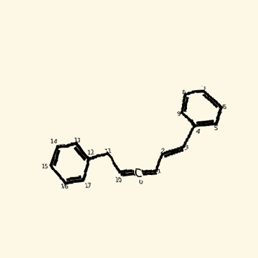 C(=CC=Cc1ccccc1)=CCc1ccccc1